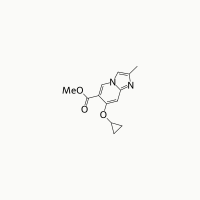 COC(=O)c1cn2cc(C)nc2cc1OC1CC1